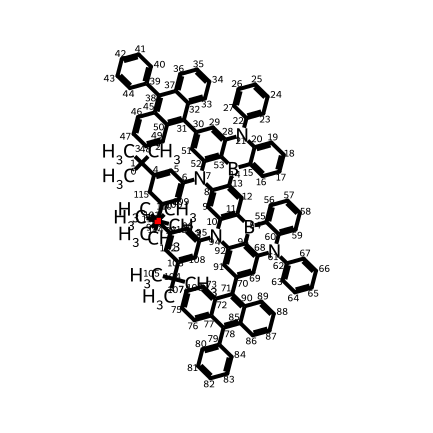 CC(C)(C)C1=CC(N2c3cc4c(cc3B3c5ccccc5N(c5ccccc5)c5cc(-c6c7ccccc7c(-c7ccccc7)c7ccccc67)cc2c53)B2c3ccccc3N(c3ccccc3)c3cc(-c5c6ccccc6c(-c6ccccc6)c6ccccc56)cc(c32)N4c2cc(C(C)(C)C)cc(C(C)(C)C)c2)=CC(C(C)(C)C)C1